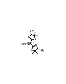 CC(C)[C@H]1N=C(CC2=N[C@H](C(C)C)C(C)(C)O2)OC1(C)C.[Br-].[Br-].[Ni+2]